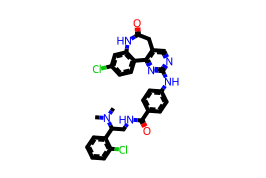 CN(C)C(CNC(=O)c1ccc(Nc2ncc3c(n2)-c2ccc(Cl)cc2NC(=O)C3)cc1)c1ccccc1Cl